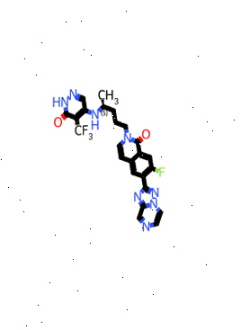 C[C@@H](CCCn1ccc2cc(-c3nc4cnccn4n3)c(F)cc2c1=O)Nc1cn[nH]c(=O)c1C(F)(F)F